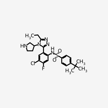 CCc1nnc(-c2cc(Cl)c(F)cc2NS(=O)(=O)c2ccc(C(C)(C)C)cc2)n1C1CCNC1